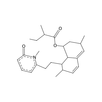 CCC(C)C(=O)OC1CC(C)C=C2C=CC(C)C(CCc3cccc(=O)n3C)C21